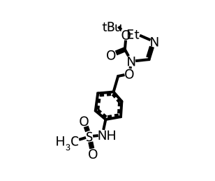 CC/N=C\N(OCc1ccc(NS(C)(=O)=O)cc1)C(=O)OC(C)(C)C